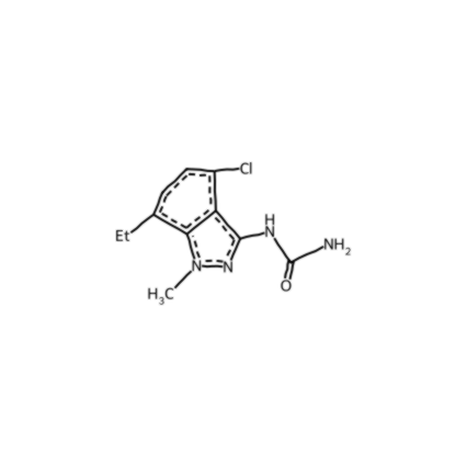 CCc1ccc(Cl)c2c(NC(N)=O)nn(C)c12